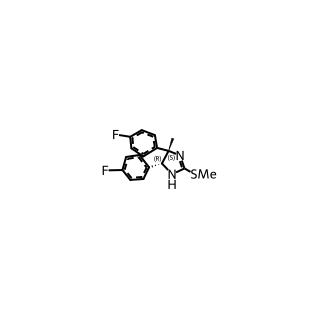 CSC1=N[C@@](C)(c2ccc(F)cc2)[C@@H](c2ccc(F)cc2)N1